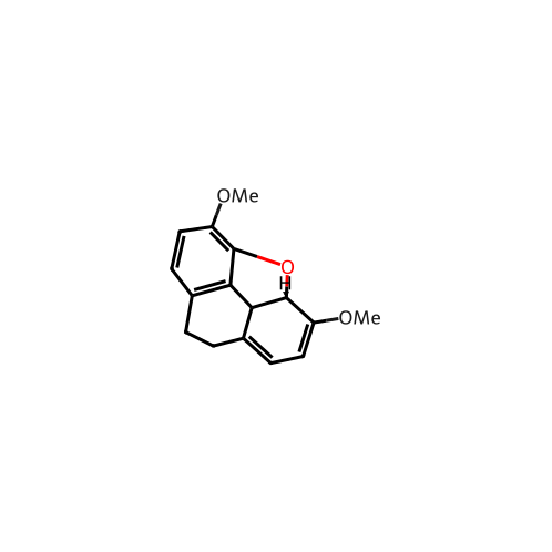 COC1=CC=C2CCc3ccc(OC)c4c3C2[C@@H]1O4